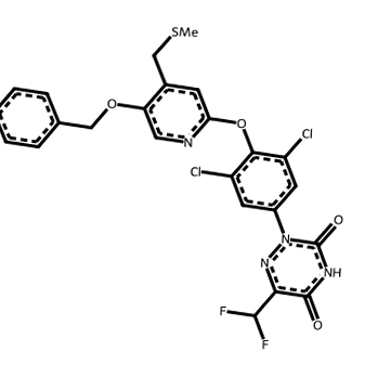 CSCc1cc(Oc2c(Cl)cc(-n3nc(C(F)F)c(=O)[nH]c3=O)cc2Cl)ncc1OCc1ccccc1